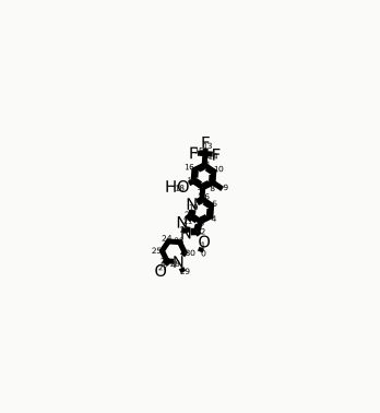 COc1c2ccc(-c3c(C)cc(C(F)(F)F)cc3O)nc2nn1[C@H]1CCC(=O)N(C)C1